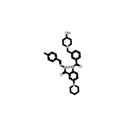 Cc1ccc(C=NNC(=O)c2cc(N3CCCCC3)ccc2NC(=O)c2cccc(CN3CCC(O)CC3)c2)cc1